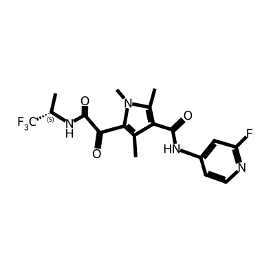 Cc1c(C(=O)Nc2ccnc(F)c2)c(C)n(C)c1C(=O)C(=O)N[C@@H](C)C(F)(F)F